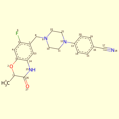 CC1Oc2cc(F)c(CN3CCN(c4ccc(C#N)cc4)CC3)cc2NC1=O